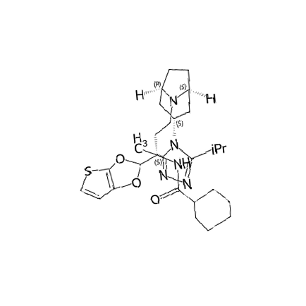 Cc1nnc(C(C)C)n1[C@@H]1C[C@H]2CC[C@@H](C1)N2CC[C@H](NC(=O)C1CCCCC1)C1Oc2ccsc2O1